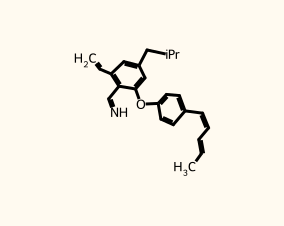 C=Cc1cc(CC(C)C)cc(Oc2ccc(/C=C\C=C\C)cc2)c1C=N